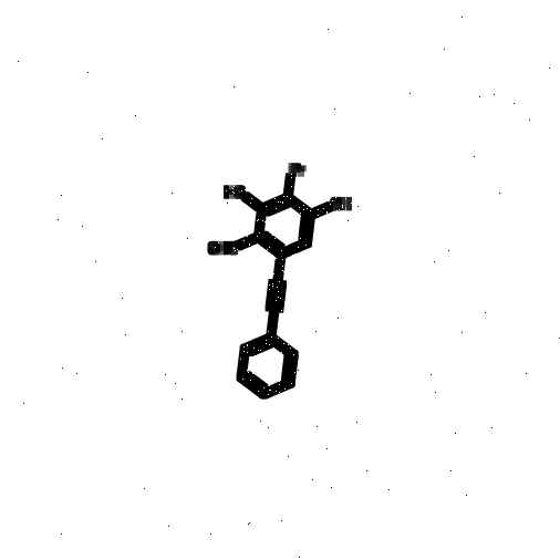 CC(C)c1c(O)cc(C#Cc2ccccc2)c(C=O)c1O